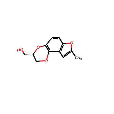 Cc1cc2c3c(ccc2o1)O[C@@H](CO)CO3